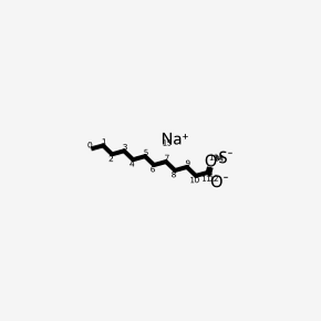 CCCCCCCCCCCC([O-])=[O+][S-].[Na+]